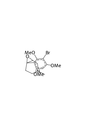 COc1cc(OC)c(C23CCN(C)CC2O3)c(OC)c1Br